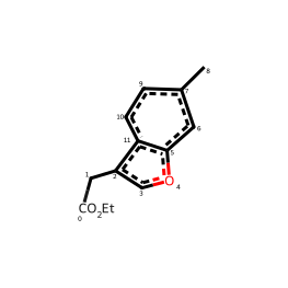 CCOC(=O)Cc1coc2cc(C)ccc12